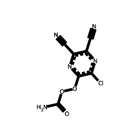 N#Cc1nc(Cl)c(OOC(N)=O)nc1C#N